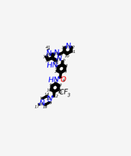 Cc1ccc(C(=O)Nc2ccc(CN3CCN(C)CC3)c(C(F)(F)F)c2)cc1Nc1nc(-c2cccnc2)nc2c1ccn2C